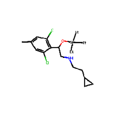 CC[Si](CC)(CC)OC(CNCCC1CC1)c1c(Cl)cc(C)cc1Cl